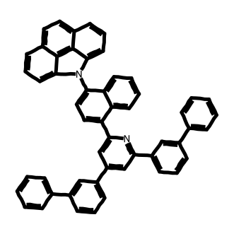 c1ccc(-c2cccc(-c3cc(-c4cccc(-c5ccccc5)c4)nc(-c4ccc(-n5c6cccc7ccc8cccc5c8c76)c5ccccc45)c3)c2)cc1